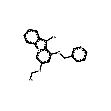 N#CCOc1cc(OCc2cccnc2)c2c(C#N)c3ccccc3n2c1